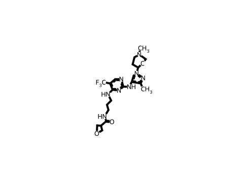 Cc1nn(C2CCN(C)CC2)cc1Nc1ncc(C(F)(F)F)c(NCCCNC(=O)C2COC2)n1